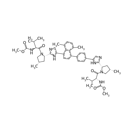 COC(=O)N[C@H](C(=O)N1C[C@@H](C)C[C@H]1c1ncc(-c2ccc(-c3ccc(-c4cnc([C@@H]5C[C@H](C)CN5C(=O)[C@H](NC(=O)OC)C(C)C)[nH]4)cc3)c3c(C)ccc(C)c23)[nH]1)C(C)C